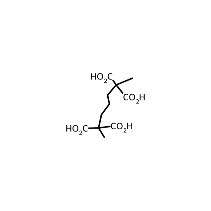 CC(CCCC(C)(C(=O)O)C(=O)O)(C(=O)O)C(=O)O